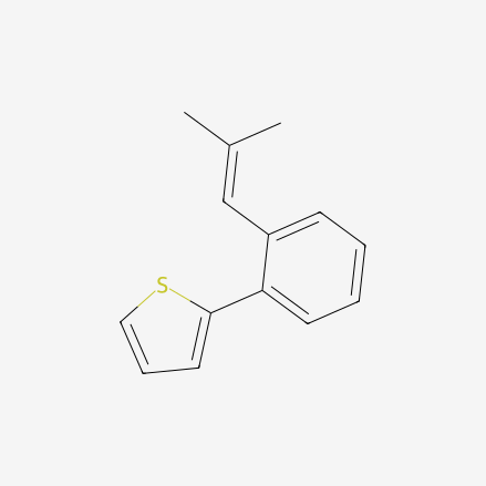 CC(C)=Cc1ccccc1-c1cccs1